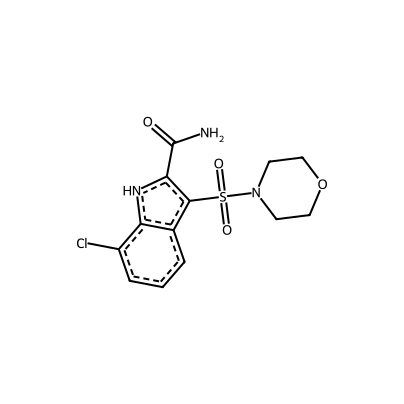 NC(=O)c1[nH]c2c(Cl)cccc2c1S(=O)(=O)N1CCOCC1